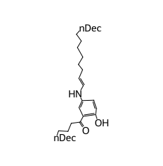 CCCCCCCCCCCCCCCCC=CNc1ccc(O)c(C(=O)CCCCCCCCCCCCC)c1